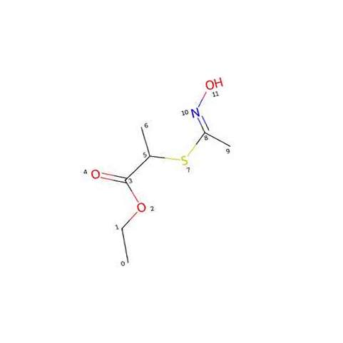 CCOC(=O)C(C)SC(C)=NO